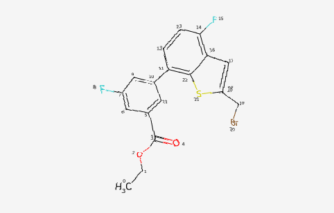 CCOC(=O)c1cc(F)cc(-c2ccc(F)c3cc(CBr)sc23)c1